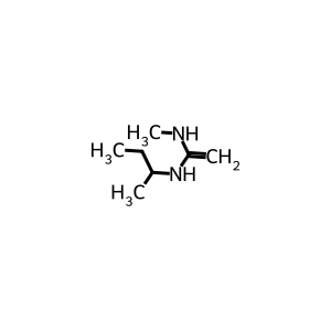 C=C(NC)NC(C)CC